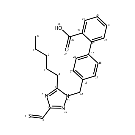 CCCCCc1nc(C=S)nn1Cc1ccc(-c2ccccc2C(=O)O)cc1